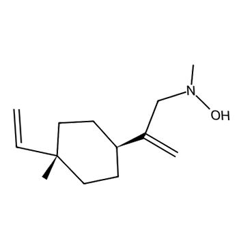 C=C[C@]1(C)CC[C@@H](C(=C)CN(C)O)CC1